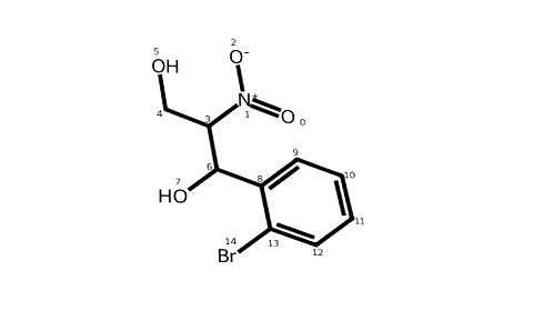 O=[N+]([O-])C(CO)C(O)c1ccccc1Br